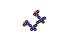 c1ccc2c(c1)Oc1cccc3nc(-c4ccc(N5c6cc7ccc(-c8ccc9c(c8)cc8n9-c9ccccc9-c9ccccc9N8c8ccc(-c9nc%10c%11c(cccc%11n9)Oc9ccccc9-%10)cc8)cc7cc6-c6ccccc6-n6c5cc5ccccc56)cc4)nc-2c13